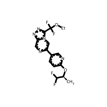 CCOC(F)(F)c1nnc2cnc(-c3ccc(O[C@@H](C)C(F)F)nc3)cn12